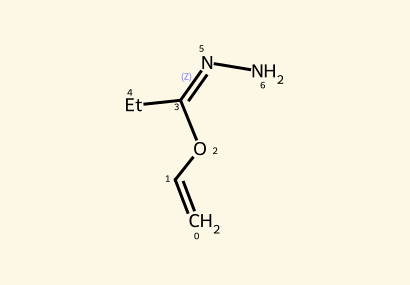 C=CO/C(CC)=N\N